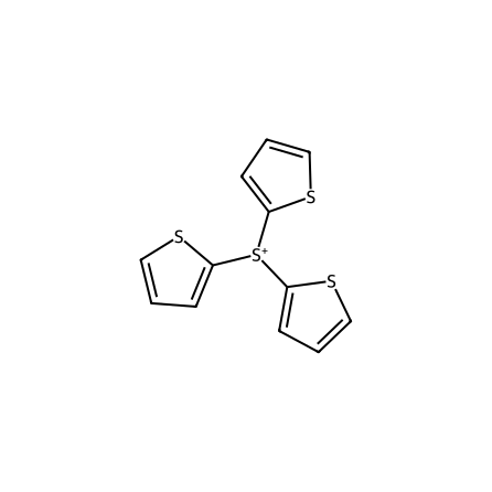 c1csc([S+](c2cccs2)c2cccs2)c1